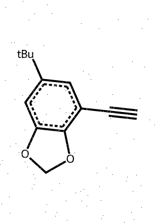 C#Cc1cc(C(C)(C)C)cc2c1OCO2